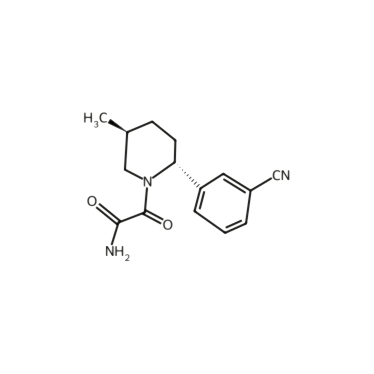 C[C@H]1CC[C@H](c2cccc(C#N)c2)N(C(=O)C(N)=O)C1